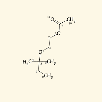 CCC(C)(C)OCCOC(C)=O